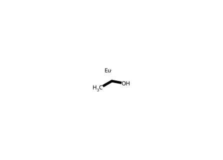 CCO.[Eu]